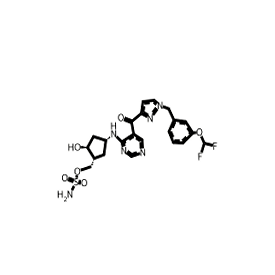 NS(=O)(=O)OC[C@H]1C[C@@H](Nc2ncncc2C(=O)c2ccn(Cc3cccc(OC(F)F)c3)n2)C[C@@H]1O